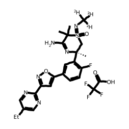 O=C(O)C(F)(F)F.[2H]C([2H])([2H])N=S1(=O)C[C@@](C)(c2cc(-c3cc(-c4ncc(CC)cn4)no3)ccc2F)N=C(N)C1(C)C